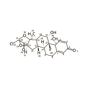 C[C@]12C=CC(=O)C=C1CC[C@H]1[C@@H]3C[C@H]4OCO[C@@]4(C(=O)CCl)[C@@]3(C)C[C@H](O)[C@@]12F